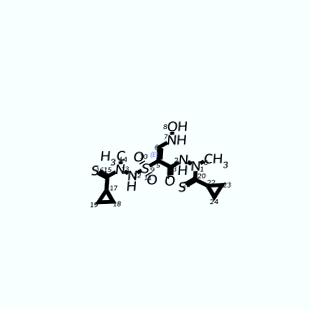 CN(NC(=O)/C(=C\NO)S(=O)(=O)NN(C)C(=S)C1CC1)C(=S)C1CC1